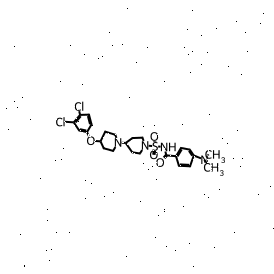 CN(C)c1ccc(C(=O)NS(=O)(=O)N2CCC(N3CCC(Oc4ccc(Cl)c(Cl)c4)CC3)CC2)cc1